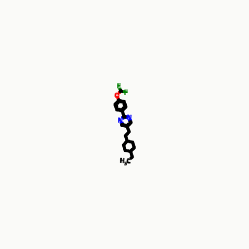 CCC1CCC(CCc2cnc(-c3ccc(OC(F)F)cc3)nc2)CC1